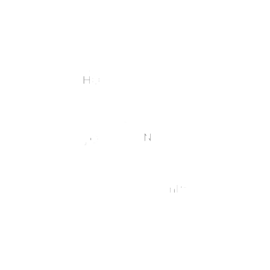 CCCC[N]C(=O)CO